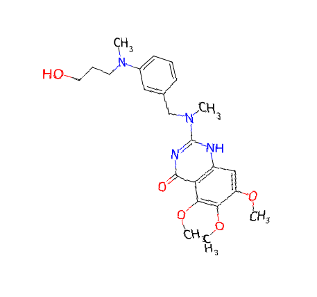 COc1cc2[nH]c(N(C)Cc3cccc(N(C)CCCO)c3)nc(=O)c2c(OC)c1OC